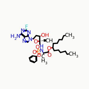 C#C[C@]1(COP(=O)(N[C@@H](C)C(=O)OC(CCCCCC)CCCCCC)Oc2ccccc2)O[C@@H](n2cnc3c(N)nc(F)nc32)C[C@@H]1O